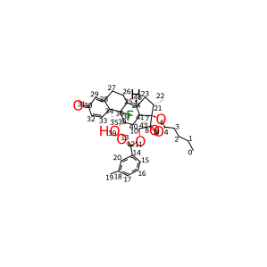 CCCCC(=O)O[C@]1(C(=O)COC(=O)c2cccc(C)c2)[C@@H](C)C[C@H]2C3CCC4=CC(=O)C=C[C@]4(C)[C@@]3(F)[C@@H](O)C[C@@]21C